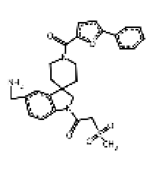 CS(=O)(=O)CC(=O)N1CC2(CCN(C(=O)c3ccc(-c4ccccc4)o3)CC2)c2cc(CN)ccc21